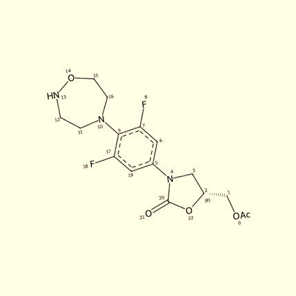 CC(=O)OC[C@H]1CN(c2cc(F)c(N3CCNOCC3)c(F)c2)C(=O)O1